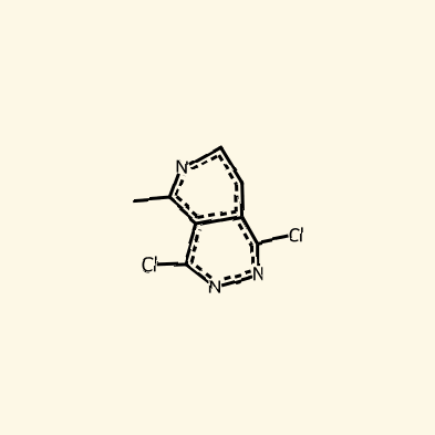 Cc1nccc2c(Cl)nnc(Cl)c12